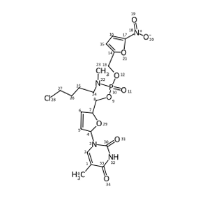 Cc1cn(C2C=CC(COP(=O)(OCc3ccc([N+](=O)[O-])o3)N(C)CCCCCl)O2)c(=O)[nH]c1=O